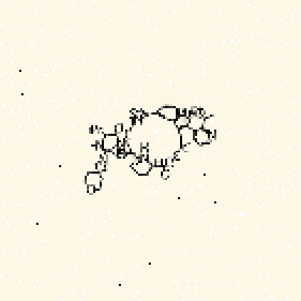 CCn1c(-c2cccnc2[C@H](C)OC)c2c3cc(ccc31)-c1csc(n1)C[C@H](NC(=O)C(C(C)C)N(C)C(=O)N1CC3(CCOCC3)C1)C(=O)N1CCC[C@H](N1)C(=O)OCC(C)(C)C2